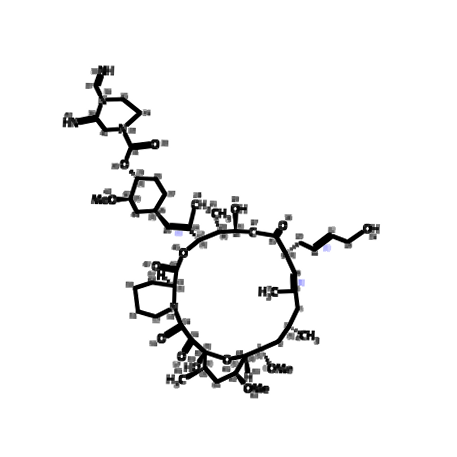 CO[C@H]1C[C@@H](C)C/C(C)=C/[C@@H](C/C=C/CO)C(=O)C[C@H](O)[C@@H](C)[C@@H](/C(C)=C/[C@@H]2CC[C@@H](OC(=O)N3CCN(C=N)C(=N)C3)[C@H](OC)C2)OC(=O)[C@@H]2CCCCN2C(=O)C(=O)[C@]2(O)O[C@H]1[C@@H](OC)C[C@H]2C